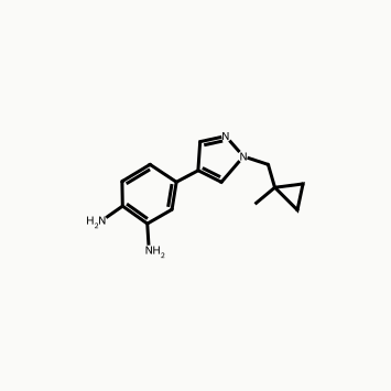 CC1(Cn2cc(-c3ccc(N)c(N)c3)cn2)CC1